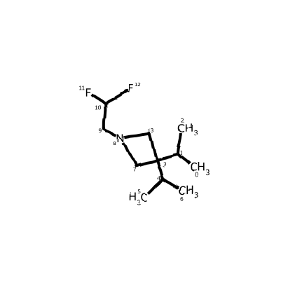 CC(C)C1(C(C)C)CN(CC(F)F)C1